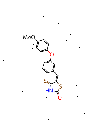 COc1ccc(Oc2cccc(C=C3SC(=O)NC3=S)c2)cc1